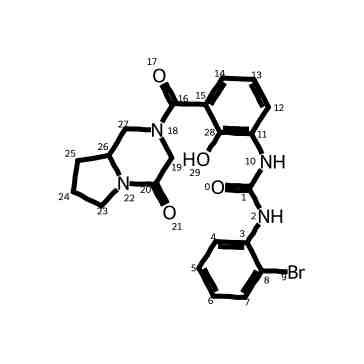 O=C(Nc1ccccc1Br)Nc1cccc(C(=O)N2CC(=O)N3CCCC3C2)c1O